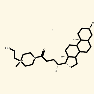 C[C@H](CCC(=O)N1CC[N+](C)(CCO)CC1)[C@H]1CCC2C3CCC4C[C@H](O)CC[C@]4(C)C3CC[C@@]21C.[I-]